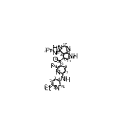 CCc1ccc(Nc2ccc(C(=O)c3c[nH]c4ncnc(NC(C)C)c34)c(F)n2)cn1